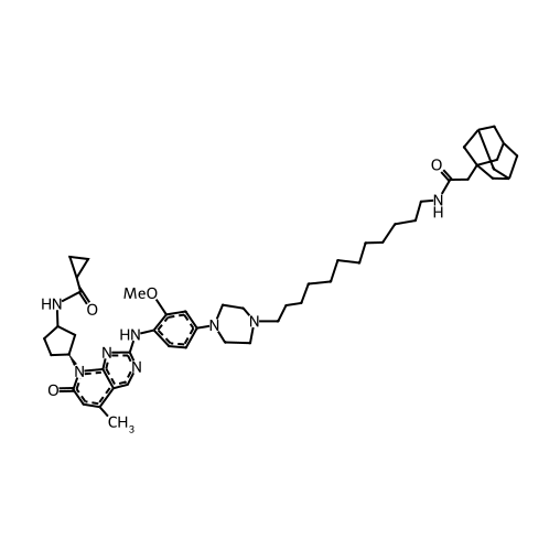 COc1cc(N2CCN(CCCCCCCCCCCCNC(=O)CC34CC5CC(CC(C5)C3)C4)CC2)ccc1Nc1ncc2c(C)cc(=O)n([C@H]3CCC(NC(=O)C4CC4)C3)c2n1